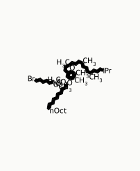 CCCCCCCC/C=C\CCCCCCCC(Oc1cc2c(c(C)c1C)OC(C)(CCCC(C)CCCC(C)CCCC(C)C)CC2)O[Si](C)(C)OCCCCCCBr